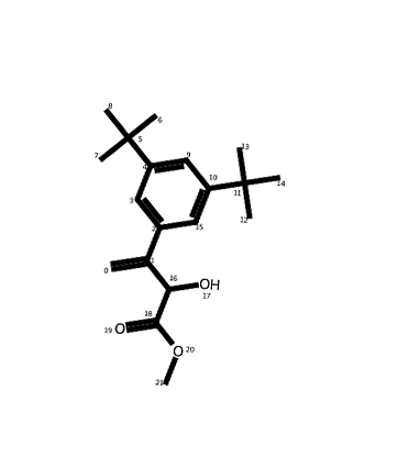 C=C(c1cc(C(C)(C)C)cc(C(C)(C)C)c1)C(O)C(=O)OC